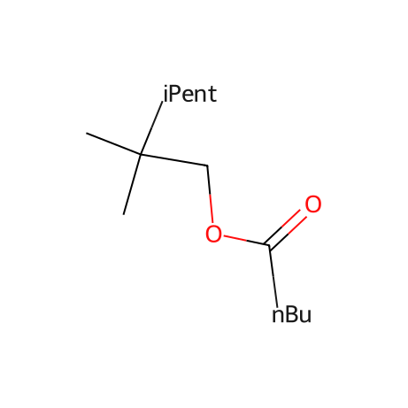 CCCCC(=O)OCC(C)(C)C(C)CCC